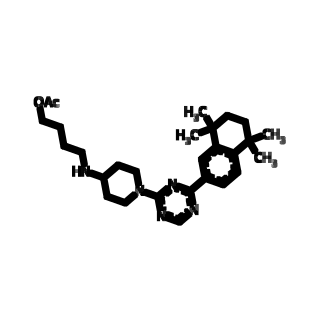 CC(=O)OCCCCNC1CCN(c2ncnc(-c3ccc4c(c3)C(C)(C)CCC4(C)C)n2)CC1